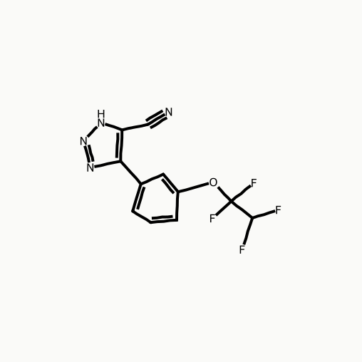 N#Cc1[nH]nnc1-c1cccc(OC(F)(F)C(F)F)c1